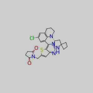 O=C1CCC(=O)N1Cc1cc2ncnc(-c3cc(Cl)cc4c3N([C@H]3CNC5(CCC5)C3)CCC4)c2s1